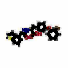 O=C(Cc1cccc2sccc12)NC(=Cc1ccc(Oc2ccccc2Br)cc1)C(=O)O